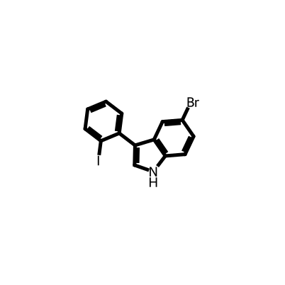 Brc1ccc2[nH]cc(-c3ccccc3I)c2c1